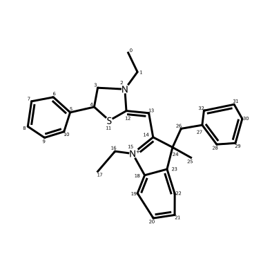 CCN1CC(c2ccccc2)S/C1=C\C1=[N+](CC)c2ccccc2C1(C)Cc1ccccc1